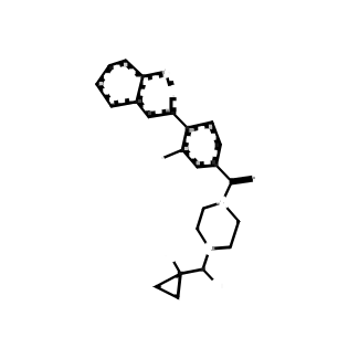 O=C(c1ccc(-c2cnc3ccccc3c2)c(O)c1)N1CCN(C(O)C2(O)CC2)CC1